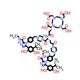 CCNC(=O)c1nnc(-c2cc(C(C)C)c(O)cc2O)n1-c1ccc(CN2CCN(C(=O)CC[C@@H](NC(=O)CC[C@H](C(=O)O)N3CCN(CC(=O)O)CCN(CC(=O)O)CCN(CC(=O)O)CC3)C(=O)N3CCN(Cc4ccc(-n5c(C(=O)NCC)nnc5-c5cc(C(C)C)c(O)cc5O)cc4)CC3)CC2)cc1